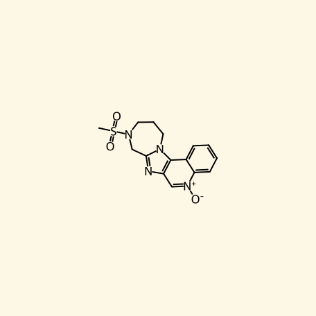 CS(=O)(=O)N1CCCn2c(nc3c[n+]([O-])c4ccccc4c32)C1